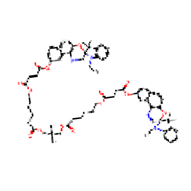 CCC(CC)(COC(=O)CCCCCOC(=O)CCC(=O)Oc1ccc2ccc3c(c2c1)N=CC1(O3)N(CC(C)C)c2ccccc2C1(C)C)COC(=O)CCCCCOC(=O)CCC(=O)Oc1ccc2ccc3c(c2c1)N=CC1(O3)N(CC(C)C)c2ccccc2C1(C)C